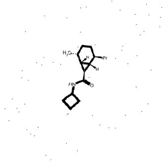 CC(C)[C@@H]1CC[C@@H](C)[C@H]2[C@H](C(=O)NC3CCC3)[C@H]21